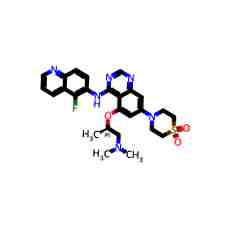 C[C@H](CN(C)C)Oc1cc(N2CCS(=O)(=O)CC2)cc2ncnc(Nc3ccc4ncccc4c3F)c12